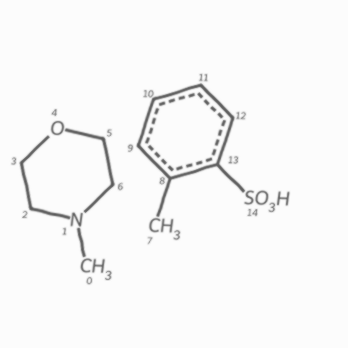 CN1CCOCC1.Cc1ccccc1S(=O)(=O)O